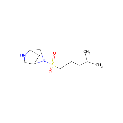 CC(C)CCCS(=O)(=O)N1CC2CC1CN2